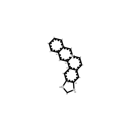 c1ccc2c[n+]3ccc4cc5c(cc4c3cc2c1)OCO5